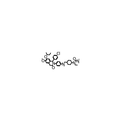 CCC(C)Oc1cc2c(cc1OC)CC(=O)N(c1ccc(N(C)CC3CCC(N(CC)C(=O)N(C)C)CC3)cc1)C2c1ccc(Cl)cc1